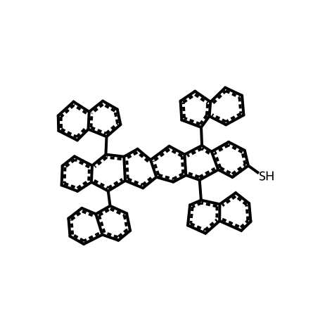 Sc1ccc2c(-c3cccc4ccccc34)c3cc4cc5c(-c6cccc7ccccc67)c6ccccc6c(-c6cccc7ccccc67)c5cc4cc3c(-c3cccc4ccccc34)c2c1